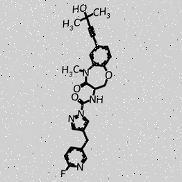 CN1C(=O)C(NC(=O)n2cc(Cc3ccc(F)nc3)cn2)COc2ccc(C#CC(C)(C)O)cc21